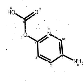 Nc1ccc(OC(=O)O)nc1